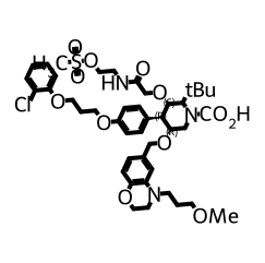 COCCCN1CCOc2ccc(CO[C@H]3CN(C(=O)O)C(C(C)(C)C)[C@@H](OCC(=O)NCCOS(C)(=O)=O)[C@@H]3c3ccc(OCCCOc4ccccc4Cl)cc3)cc21